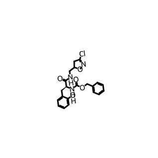 O=C(N[C@@H](Cc1ccccc1O)C(=O)NCC1CC(Cl)=NO1)OCc1ccccc1